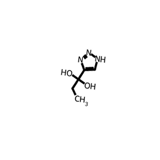 CCC(O)(O)c1c[nH]nn1